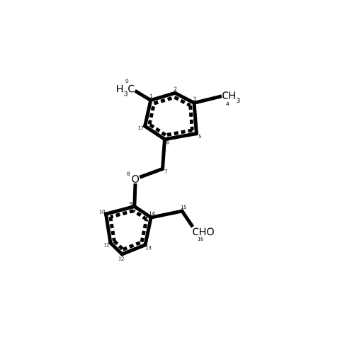 Cc1cc(C)cc(COc2ccccc2CC=O)c1